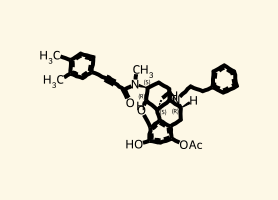 CC(=O)Oc1cc(O)c2c3c1C[C@@H]1[C@@H]4CC[C@H](N(C)C(=O)C#Cc5ccc(C)c(C)c5)[C@H](O2)[C@]34CCN1CCc1ccccc1